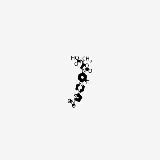 CN(C(=O)O)[C@@H]1CN(c2ccc(N3CCN(c4ccc([N+](=O)[O-])s4)CC3)c(F)c2)C(=O)O1